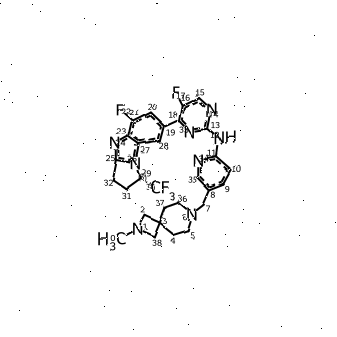 CN1CC2(CCN(Cc3ccc(Nc4ncc(F)c(-c5cc(F)c6nc7n(c6c5)[C@H](C(F)(F)F)CC7)n4)nc3)CC2)C1